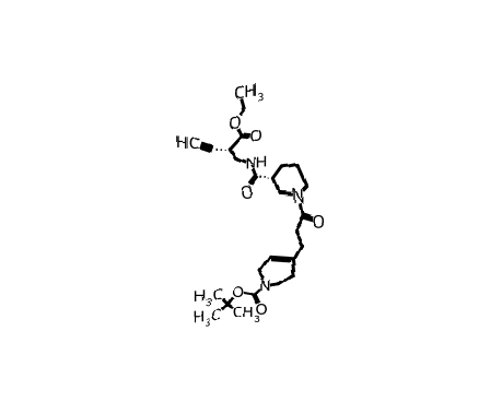 C#C[C@@H](CNC(=O)[C@@H]1CCCN(C(=O)CCC2=CCN(C(=O)OC(C)(C)C)CC2)C1)C(=O)OCC